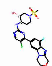 CS(=O)(=O)N1CC[C@@H](Nc2ncc(Cl)c(-c3cc(F)c4nc5n(c4c3)CCOC5)n2)[C@H](O)C1